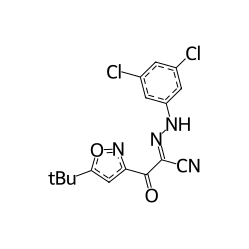 CC(C)(C)c1cc(C(=O)/C(C#N)=N/Nc2cc(Cl)cc(Cl)c2)no1